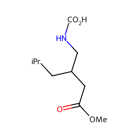 COC(=O)CC(CNC(=O)O)CC(C)C